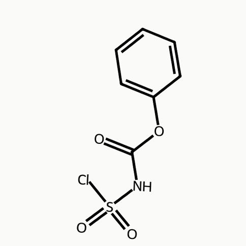 O=C(NS(=O)(=O)Cl)Oc1ccccc1